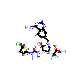 Nc1ncnc2cc(CN3CC[C@H](NC(=O)Nc4ccc(Cl)s4)C3=O)ccc12.O=C(O)C(F)(F)F